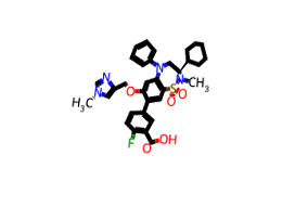 CN1[C@H](C2CCCCC2)CN(c2ccccc2)c2cc(OCc3cn(C)cn3)c(-c3ccc(F)c(C(=O)O)c3)cc2S1(=O)=O